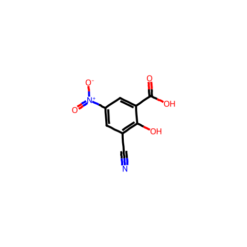 N#Cc1cc([N+](=O)[O-])cc(C(=O)O)c1O